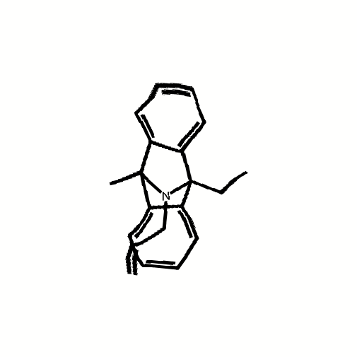 C=CCN1C2(C)c3ccccc3C1(CC)c1ccccc12